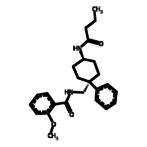 CCCC(=O)N[C@H]1CC[C@@](CNC(=O)c2ccccc2OC)(c2ccccc2)CC1